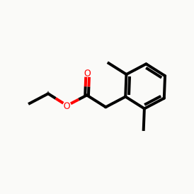 C[CH]OC(=O)Cc1c(C)cccc1C